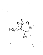 C[C@@H]1CC(C(C)(C)C)N(C(=O)O)S(=O)(=O)O1